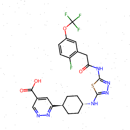 O=C(Cc1cc(OC(F)(F)F)ccc1F)Nc1nnc(N[C@H]2CC[C@H](c3cc(C(=O)O)cnn3)CC2)s1